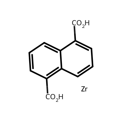 O=C(O)c1cccc2c(C(=O)O)cccc12.[Zr]